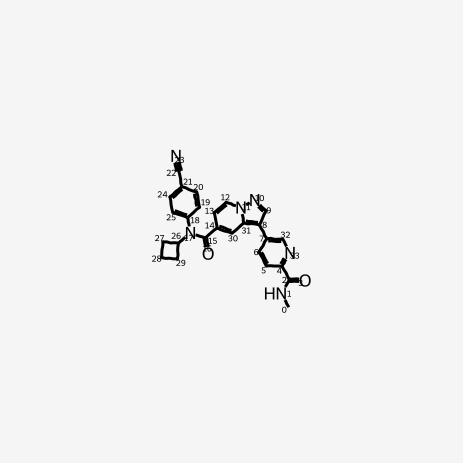 CNC(=O)c1ccc(-c2cnn3ccc(C(=O)N(c4ccc(C#N)cc4)C4CCC4)cc23)cn1